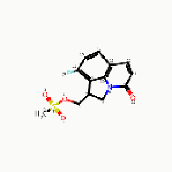 CS(=O)(=O)OCC1Cn2c(=O)ccc3ccc(F)c1c32